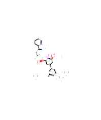 COc1cc(-c2cc(O)c(O)c(C(=O)N[C@@H](CO)Cc3c[nH]c4ccccc34)c2)cc(OC)c1OC